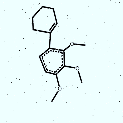 COc1ccc(C2=CCCCC2)c(OC)c1OC